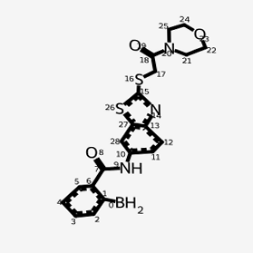 Bc1ccccc1C(=O)Nc1ccc2nc(SCC(=O)N3CCOCC3)sc2c1